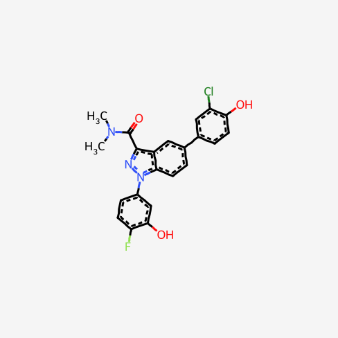 CN(C)C(=O)c1nn(-c2ccc(F)c(O)c2)c2ccc(-c3ccc(O)c(Cl)c3)cc12